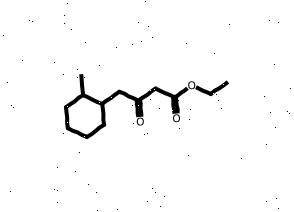 CCOC(=O)CC(=O)CC1CCCCC1C